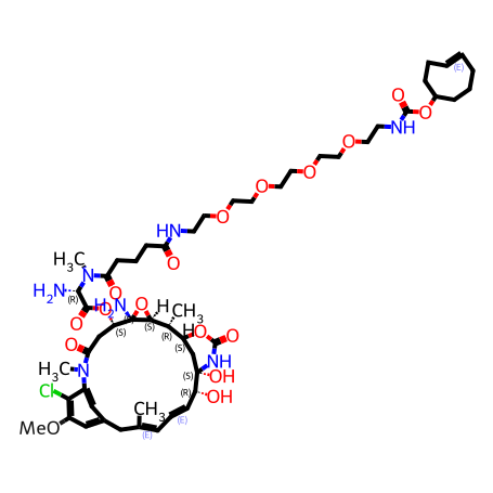 COc1cc2cc(c1Cl)N(C)C(=O)C[C@H](OC(=O)[C@H](N)N(C)C(=O)CCCC(=O)NCCOCCOCCOCCOCCNC(=O)OC1CC/C=C/CCC1)[C@]1(N)O[C@H]1[C@H](C)[C@@H]1C[C@@](O)(NC(=O)O1)[C@H](O)/C=C/C=C(\C)C2